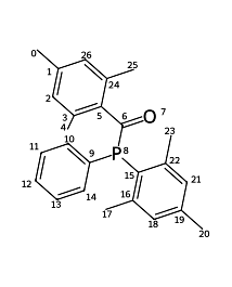 Cc1cc(C)c(C(=O)P(c2ccccc2)c2c(C)cc(C)cc2C)c(C)c1